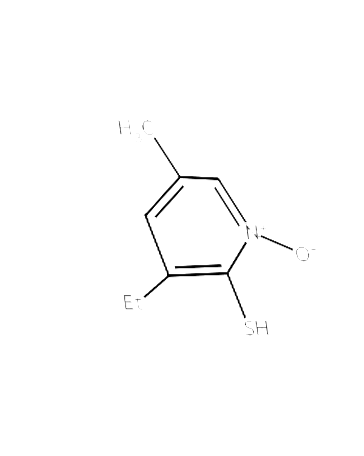 CCc1cc(C)c[n+]([O-])c1S